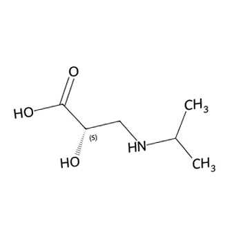 CC(C)NC[C@H](O)C(=O)O